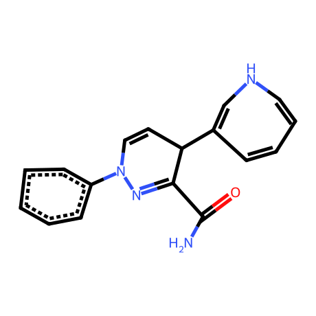 NC(=O)C1=NN(c2ccccc2)C=CC1C1=CNC=CC=C1